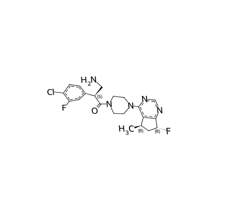 C[C@@H]1C[C@@H](F)c2ncnc(N3CCN(C(=O)[C@H](CN)c4ccc(Cl)c(F)c4)CC3)c21